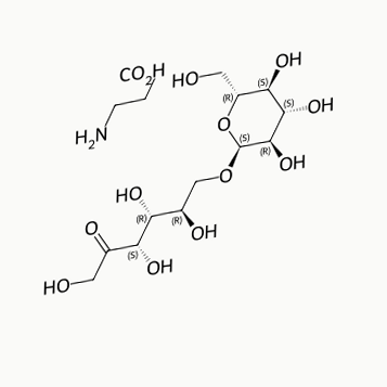 NCCC(=O)O.O=C(CO)[C@@H](O)[C@H](O)[C@H](O)CO[C@H]1O[C@H](CO)[C@@H](O)[C@H](O)[C@H]1O